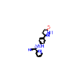 N#C/C(=N/Nc1ccc(C2=NNC(=O)CC2)cc1)c1ccccn1